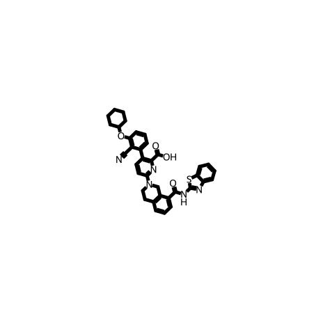 N#Cc1c(OC2CCCCC2)cccc1-c1ccc(N2CCc3cccc(C(=O)Nc4nc5ccccc5s4)c3C2)nc1C(=O)O